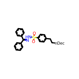 CCCCCCCCCCCCc1ccc(S(=O)(=O)NN=C(c2ccccc2)c2ccccc2)cc1